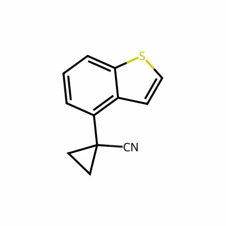 N#CC1(c2cccc3sccc23)CC1